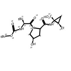 CC[C@@H]1C[C@]1(NC(=O)C1C[C@@H](O)CN1C(=O)[C@@H](NC(=O)OC(C)(C)C)C(C)(C)C)C(=O)O